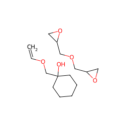 C(OCC1CO1)C1CO1.C=COCC1(O)CCCCC1